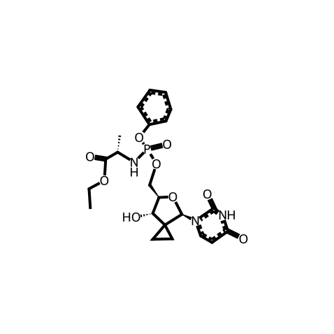 CCOC(=O)[C@H](C)NP(=O)(OC[C@H]1O[C@@H](n2ccc(=O)[nH]c2=O)C2(CC2)[C@@H]1O)Oc1ccccc1